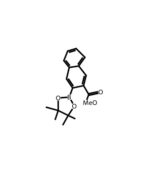 COC(=O)c1cc2ccccc2cc1B1OC(C)(C)C(C)(C)O1